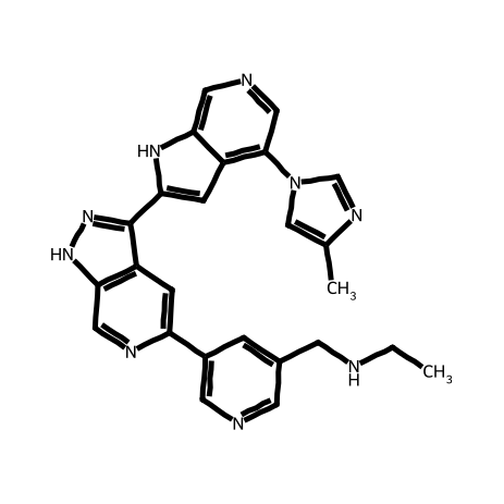 CCNCc1cncc(-c2cc3c(-c4cc5c(-n6cnc(C)c6)cncc5[nH]4)n[nH]c3cn2)c1